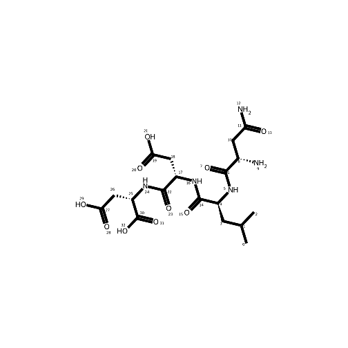 CC(C)C[C@H](NC(=O)[C@@H](N)CC(N)=O)C(=O)N[C@@H](CC(=O)O)C(=O)N[C@@H](CC(=O)O)C(=O)O